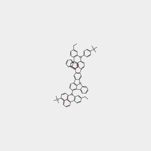 CCc1ccc(-c2ccccc2)c(N(c2ccc([Si](C)(C)C)cc2)c2ccc3c4cc5c(cc4n4c6ccccc6c2c34)c2ccc(N(c3ccc([Si](C)(C)C)cc3)c3cc(CC)ccc3-c3ccccc3)c3c4ccccc4n5c23)c1